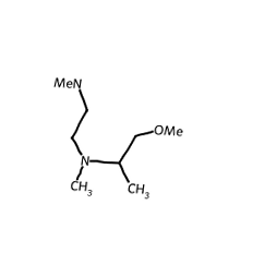 CNCCN(C)C(C)COC